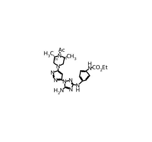 CCOC(=O)Nc1ccc(Nc2nc(N)n(-c3cc(N4C[C@@H](C)N(C(C)=O)[C@@H](C)C4)ncn3)n2)cc1